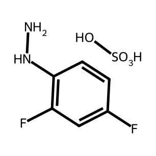 NNc1ccc(F)cc1F.O=S(=O)(O)O